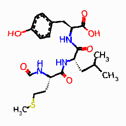 CSCC[C@H](NC=O)C(=O)N[C@@H](CC(C)C)C(=O)N[C@@H](Cc1ccc(O)cc1)C(=O)O